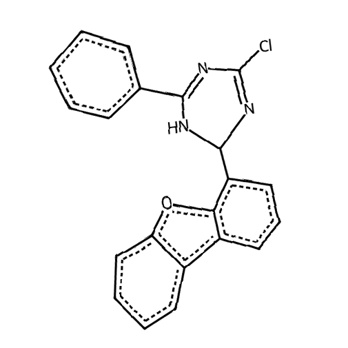 ClC1=NC(c2cccc3c2oc2ccccc23)NC(c2ccccc2)=N1